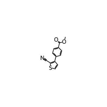 COC(=O)c1ccc(-c2ccsc2C#N)cc1